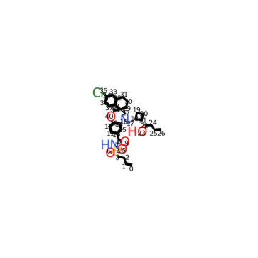 C=CCCS(=O)(=O)NC(=O)c1ccc2c(c1)N(C[C@@H]1CC[C@@H]1C(O)CC=C)C[C@@]1(CCCc3cc(Cl)ccc31)CO2